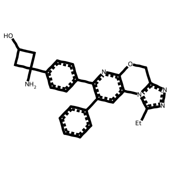 CCc1nnc2n1-c1cc(-c3ccccc3)c(-c3ccc(C4(N)CC(O)C4)cc3)nc1OC2